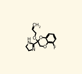 C=CCOC1(C2=NCCN2)COc2c(F)cccc2O1